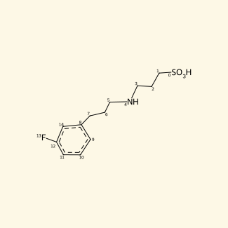 O=S(=O)(O)CCCNCCCc1cccc(F)c1